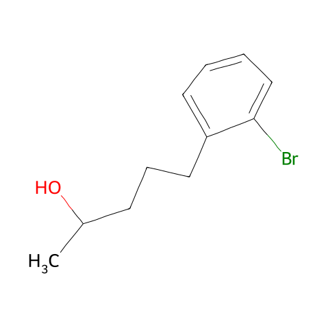 CC(O)CCCc1ccccc1Br